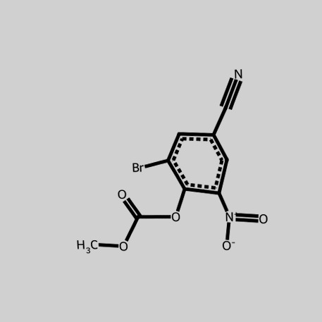 COC(=O)Oc1c(Br)cc(C#N)cc1[N+](=O)[O-]